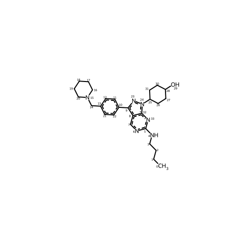 CCCCNc1ncc2c(-c3ccc(CN4CCCCC4)cc3)nn(C3CCC(O)CC3)c2n1